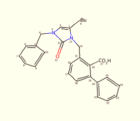 CCC(C)c1cn(Cc2ccccc2)c(=O)n1Cc1cccc(-c2ccccc2)c1C(=O)O